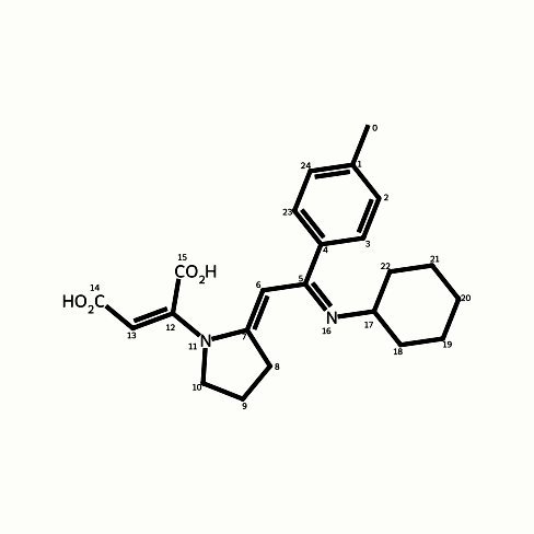 Cc1ccc(C(C=C2CCCN2/C(=C/C(=O)O)C(=O)O)=NC2CCCCC2)cc1